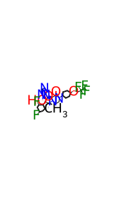 C[C@@H](N1CCN(c2ccc(OCC(F)(F)C(F)F)cc2)C(=O)C1=O)[C@](O)(Cn1cncn1)c1ccc(F)cc1F